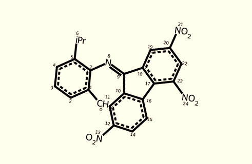 Cc1cccc(C(C)C)c1N=C1c2cc([N+](=O)[O-])ccc2-c2c1cc([N+](=O)[O-])cc2[N+](=O)[O-]